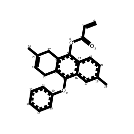 C=CC(=O)Oc1c2c(c(Oc3ccccc3)c3cc(C)ccc13)CC=C(C)C2